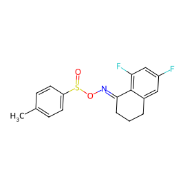 Cc1ccc(S(=O)O/N=C2\CCCc3cc(F)cc(F)c32)cc1